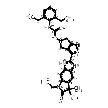 CCc1cccc(CC)c1NC(=O)ON1Cc2[nH]nc(-c3nc4cc5c(cc4[nH]3)N(CC)C(=O)C5(C)C)c2C1